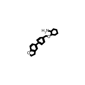 NC1CCCCC1OCc1ccc(-c2ccc3c(c2)CCO3)cc1